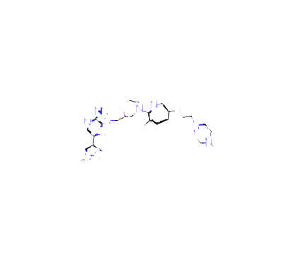 CC1=C=CC(OCCN2CCN(C)CC2)=CN=C1N1CCOC(Cn2nnc3ncc(-c4cnn(C)c4)nc32)C1